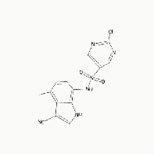 Cc1ccc(NS(=O)(=O)c2cnc(Cl)nc2)c2[nH]cc(C#N)c12